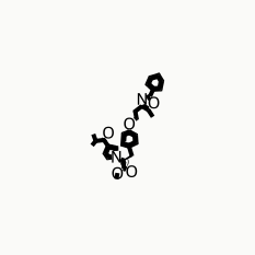 COC(=O)[C@H](Cc1ccc(OCCc2nc(-c3ccccc3)oc2C)cc1)n1ccc(C(=O)C(C)C)c1